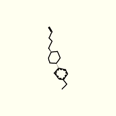 C=CCCC[C@H]1CC[C@H](c2ccc(CC)cc2)CC1